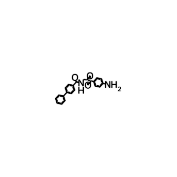 Nc1ccc(S(=O)(=O)CNC(=O)c2ccc(-c3ccccc3)cc2)cc1